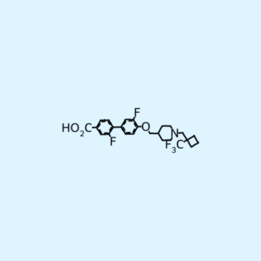 O=C(O)c1ccc(-c2ccc(OCC3CCN(CC4(C(F)(F)F)CCC4)CC3)c(F)c2)c(F)c1